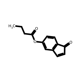 CCCC(=O)Oc1ccc2c(c1)C=CC2=O